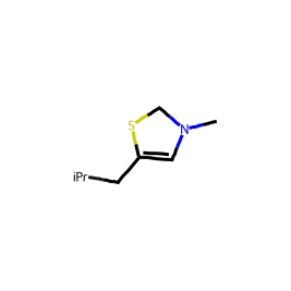 CC(C)CC1=CN(C)CS1